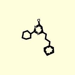 Clc1cc(CCCc2ccccc2)nc(C2CCCCC2)n1